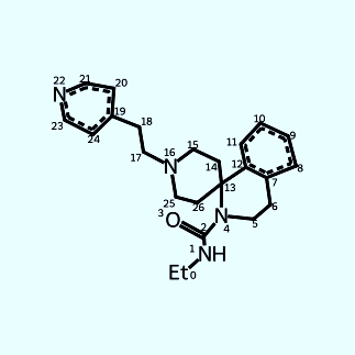 CCNC(=O)N1CCc2ccccc2C12CCN(CCc1ccncc1)CC2